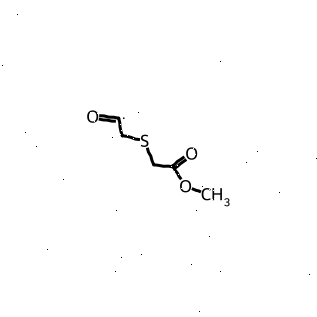 COC(=O)CSC[C]=O